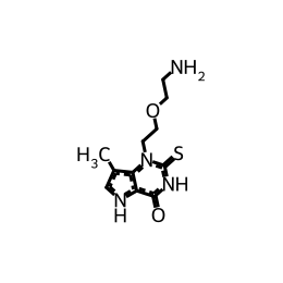 Cc1c[nH]c2c(=O)[nH]c(=S)n(CCOCCN)c12